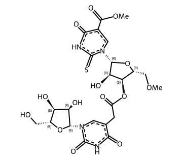 COC[C@H]1O[C@@H](n2cc(C(=O)OC)c(=O)[nH]c2=S)[C@H](O)[C@@H]1OC(=O)Cc1cn([C@@H]2O[C@H](CO)[C@@H](O)[C@H]2O)c(=O)[nH]c1=O